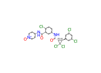 O=C(Nc1cc[n+]([O-])cc1)c1cc(NC(=O)[C@@H]2[C@@H](c3cc(Cl)cc(Cl)c3)C2(Cl)Cl)ccc1Cl